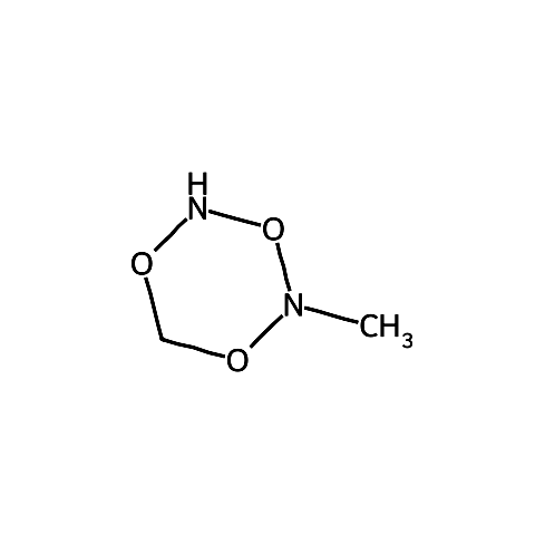 CN1OCONO1